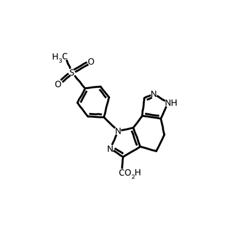 CS(=O)(=O)c1ccc(-n2nc(C(=O)O)c3c2-c2cn[nH]c2CC3)cc1